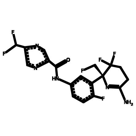 NC1=N[C@](CF)(c2cc(NC(=O)c3cnc(C(F)F)cn3)ccc2F)C(F)(F)CC1